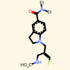 CCN(CC)C(=O)c1ccc2c(c1)CCN2C/C(=C/F)CNC(=O)O